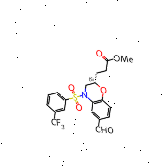 COC(=O)CC[C@H]1CN(S(=O)(=O)c2cccc(C(F)(F)F)c2)c2cc(C=O)ccc2O1